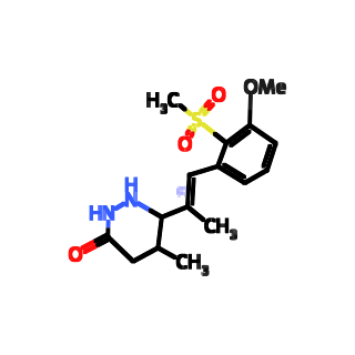 COc1cccc(/C=C(\C)C2NNC(=O)CC2C)c1S(C)(=O)=O